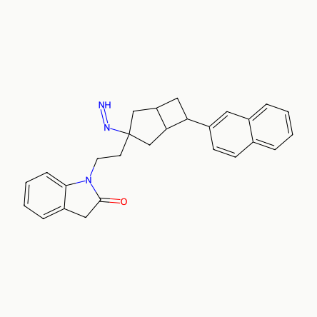 N=NC1(CCN2C(=O)Cc3ccccc32)CC2CC(c3ccc4ccccc4c3)C2C1